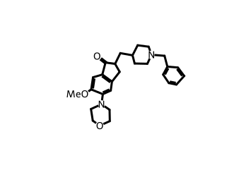 COc1cc2c(cc1N1CCOCC1)CC(CC1CCN(Cc3ccccc3)CC1)C2=O